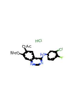 COc1cc2ncnc(Nc3ccc(F)c(Cl)c3)c2cc1OC(C)=O.Cl